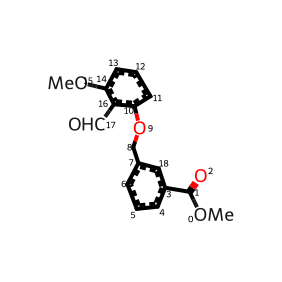 COC(=O)c1cccc(COc2cccc(OC)c2C=O)c1